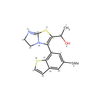 CSc1cc(C2=C(C(C)O)SC3=NCCN32)c2sccc2c1